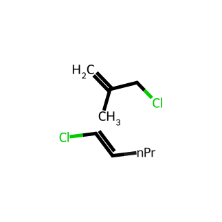 C=C(C)CCl.CCCC=CCl